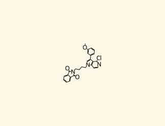 COc1cccc(-c2cn(CCCCN3C(=O)c4ccccc4C3=O)c3ccnc(Cl)c23)c1